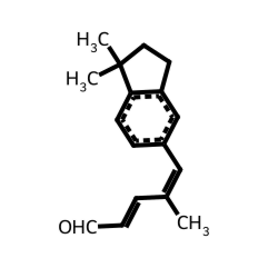 CC(C=CC=O)=Cc1ccc2c(c1)CCC2(C)C